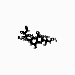 CCC(F)(F)c1nc2c(F)cc(NC(C)(C)C(=O)C=O)cc2c(=O)[nH]1